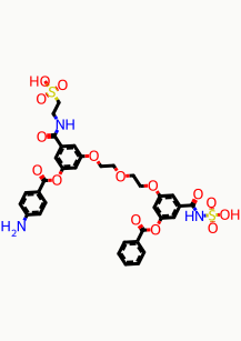 Nc1ccc(C(=O)Oc2cc(OCCOCCOc3cc(OC(=O)c4ccccc4)cc(C(=O)NS(=O)(=O)O)c3)cc(C(=O)NCCS(=O)(=O)O)c2)cc1